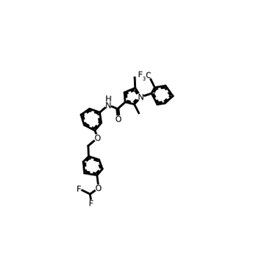 Cc1cc(C(=O)Nc2cccc(OCc3ccc(OC(F)F)cc3)c2)c(C)n1-c1ccccc1C(F)(F)F